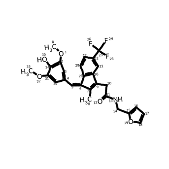 COc1cc(/C=C2/C(C)=C(CC(=O)NCc3ccco3)c3cc(C(F)(F)F)ccc32)cc(OC)c1O